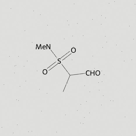 CNS(=O)(=O)C(C)C=O